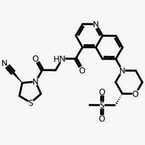 CS(=O)(=O)C[C@@H]1CN(c2ccc3nccc(C(=O)NCC(=O)N4CSC[C@H]4C#N)c3c2)CCO1